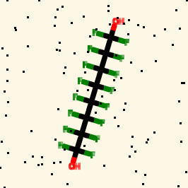 OC(F)(F)C(F)(F)C(F)(F)C(F)(F)C(F)(F)C(F)(F)C(F)(F)C(O)(F)F